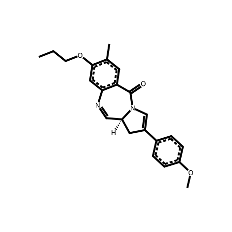 CCCOc1cc2c(cc1C)C(=O)N1C=C(c3ccc(OC)cc3)C[C@H]1C=N2